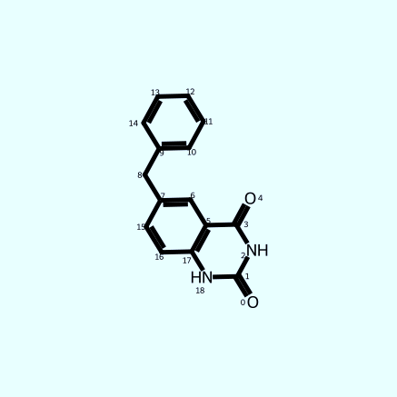 O=c1[nH]c(=O)c2cc(Cc3ccccc3)ccc2[nH]1